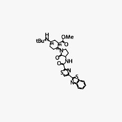 COC(=O)[C@@H]1C[C@H](NC(C)(C)C)CC[C@@H]1N1CCC(NC(=O)c2nc(-c3nc4ccccc4s3)cs2)C1=O